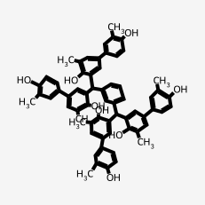 Cc1cc(-c2cc(C)c(O)c(C(c3cccc(C(c4cc(-c5ccc(O)c(C)c5)cc(C)c4O)c4cc(-c5ccc(O)c(C)c5)cc(C)c4O)c3)c3cc(-c4ccc(O)c(C)c4)cc(C)c3O)c2)ccc1O